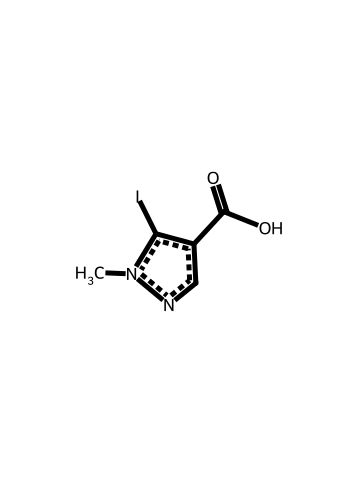 Cn1ncc(C(=O)O)c1I